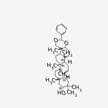 CC1(C)C[C@@H]2C3=CC[C@@H]4[C@@]5(C)CCC6OC(c7ccccc7)OC[C@@]6(C)C5CC[C@@]4(C)[C@]3(C)CC[C@@]2(C)C[C@H]1O